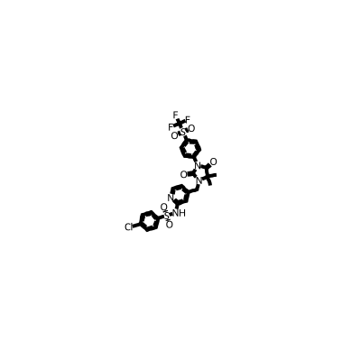 CC1(C)C(=O)N(c2ccc(S(=O)(=O)C(F)(F)F)cc2)C(=O)N1Cc1ccnc(NS(=O)(=O)c2ccc(Cl)cc2)c1